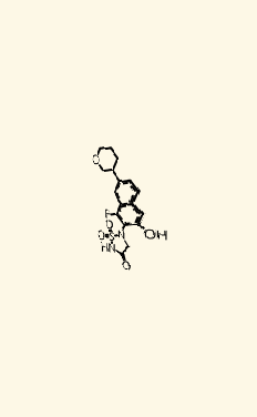 O=C1CN(c2c(O)cc3ccc(C4CCCOC4)cc3c2F)S(=O)(=O)N1